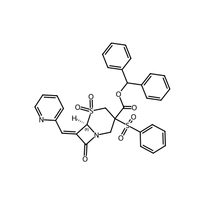 O=C1C(=Cc2ccccn2)[C@@H]2N1CC(C(=O)OC(c1ccccc1)c1ccccc1)(S(=O)(=O)c1ccccc1)CS2(=O)=O